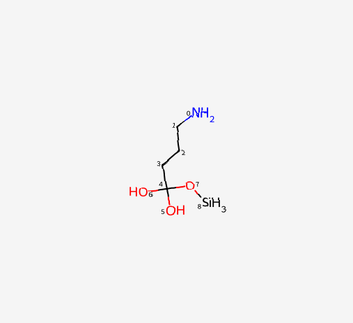 NCCCC(O)(O)O[SiH3]